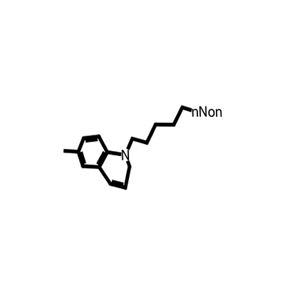 CCCCCCCCCCCCCCN1CC=Cc2cc(C)ccc21